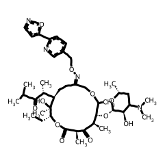 CC[C@H]1OC(=O)[C@H](C)C(=O)[C@H](C)[C@@H](O[C@@H]2O[C@H](C)CC(N(C)C)[C@H]2O)C(C)OC/C(=N/OCc2ccc(-c3ccno3)nc2)CC[C@H]([C@@H](C)C(=O)C(C)C)[C@]1(C)O